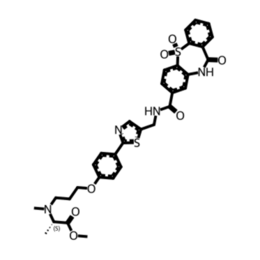 COC(=O)[C@H](C)N(C)CCCOc1ccc(-c2ncc(CNC(=O)c3ccc4c(c3)NC(=O)c3ccccc3S4(=O)=O)s2)cc1